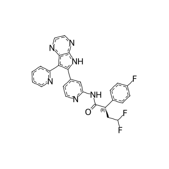 O=C(Nc1cc(-c2[nH]c3nccnc3c2-c2ccccn2)ccn1)[C@H](CC(F)F)c1ccc(F)cc1